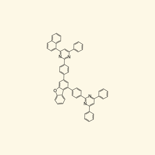 c1ccc(-c2cc(-c3ccccc3)nc(-c3ccc(-c4cc(-c5ccc(-c6nc(-c7ccccc7)cc(-c7cccc8ccccc78)n6)cc5)cc5oc6ccccc6c45)cc3)n2)cc1